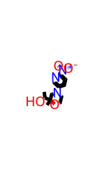 CC(O)C1(C)CN(c2ccc([N+](=O)[O-])nc2)CCO1